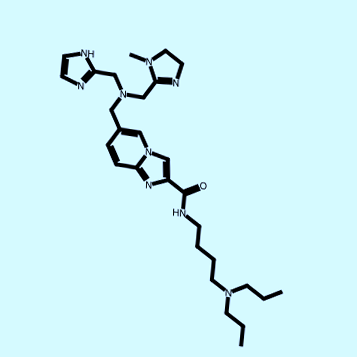 CCCN(CCC)CCCCNC(=O)c1cn2cc(CN(CC3=NCCN3C)Cc3ncc[nH]3)ccc2n1